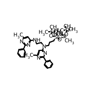 Cc1cc(NCCN(CCC[Si](C)(O[Si](C)(C)C)O[Si](C)(C)O[Si](C)(C)C)c2cc(C)nc(-c3ccccc3)n2)nc(-c2ccccc2)n1